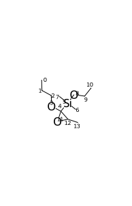 CCCOC1([Si](C)(C)OCC)OC1C